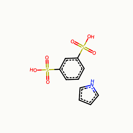 O=S(=O)(O)c1cccc(S(=O)(=O)O)c1.c1cc[nH]c1